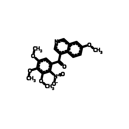 COc1ccc2c(C(=O)c3cc(OC)c(OC)c(OC)c3[N+](=O)[O-])cncc2c1